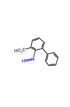 N=Nc1c(C(=O)O)cccc1-c1ccccc1